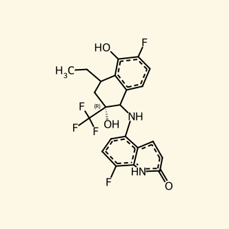 CCC1C[C@](O)(C(F)(F)F)C(Nc2ccc(F)c3[nH]c(=O)ccc23)c2ccc(F)c(O)c21